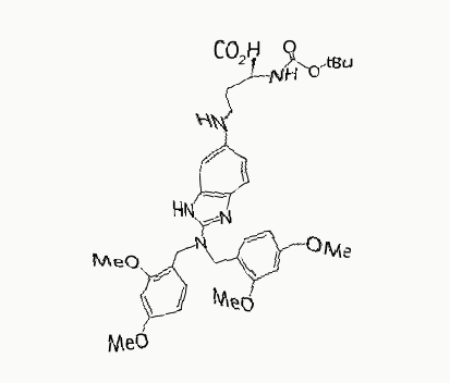 COc1ccc(CN(Cc2ccc(OC)cc2OC)c2nc3ccc(NCC[C@H](NC(=O)OC(C)(C)C)C(=O)O)cc3[nH]2)c(OC)c1